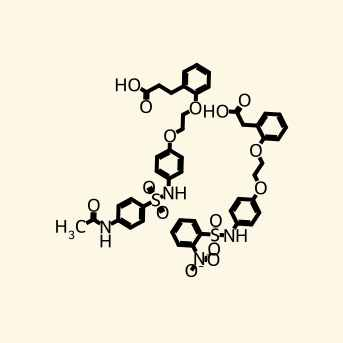 CC(=O)Nc1ccc(S(=O)(=O)Nc2ccc(OCCOc3ccccc3CCC(=O)O)cc2)cc1.O=C(O)Cc1ccccc1OCCOc1ccc(NS(=O)(=O)c2ccccc2[N+](=O)[O-])cc1